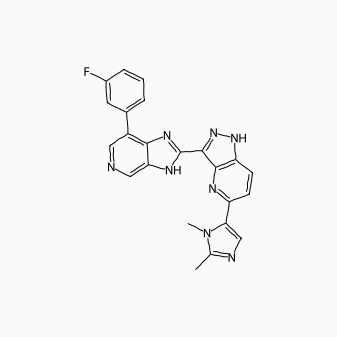 Cc1ncc(-c2ccc3[nH]nc(-c4nc5c(-c6cccc(F)c6)cncc5[nH]4)c3n2)n1C